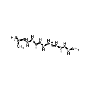 BBBBBBBBBBBBBB(B)C